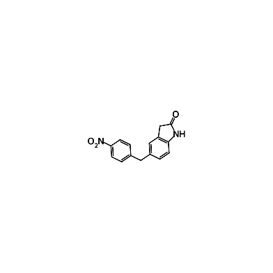 O=C1Cc2cc(Cc3ccc([N+](=O)[O-])cc3)ccc2N1